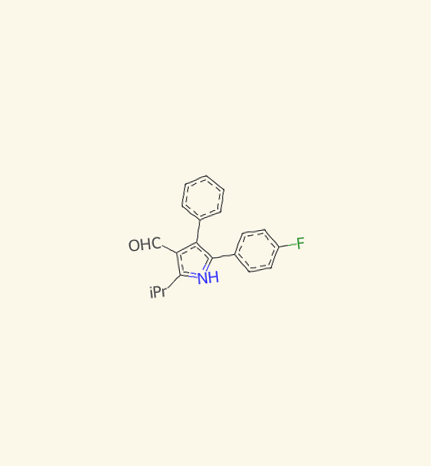 CC(C)c1[nH]c(-c2ccc(F)cc2)c(-c2ccccc2)c1C=O